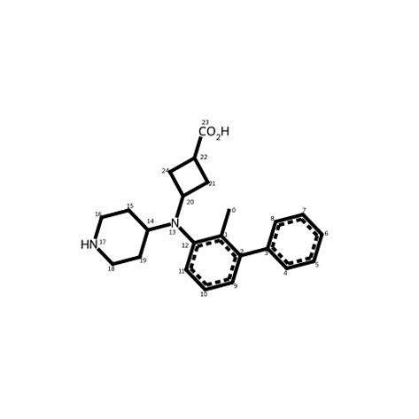 Cc1c(-c2ccccc2)cccc1N(C1CCNCC1)C1CC(C(=O)O)C1